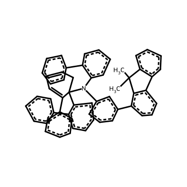 CC1(C)c2ccccc2-c2cccc(-c3cccc(N(c4ccccc4-c4ccccc4)C4(c5ccccc5-c5ccccc5)CC=CC=C4c4ccccc4)c3)c21